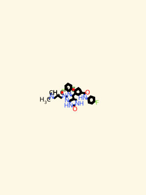 Cc1ccc(C(=O)Nc2ccc(F)cc2)cc1C1C2=C(N=C(N(C)CCCN(C)C)N1c1c(F)cccc1F)NC(=O)NC2